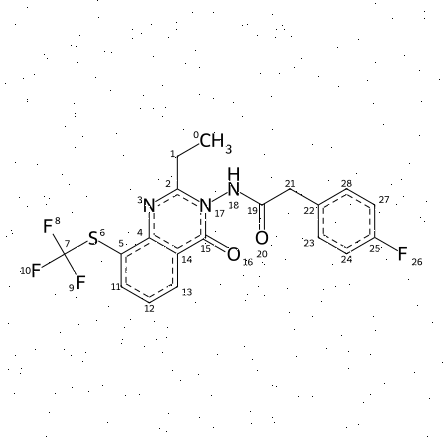 CCc1nc2c(SC(F)(F)F)cccc2c(=O)n1NC(=O)Cc1ccc(F)cc1